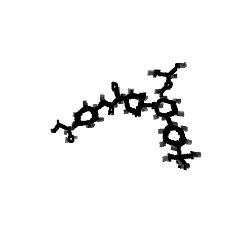 CC[S+]([O-])c1ccc(CNC(=O)c2cnc(N3CC(c4ccc(C(F)(F)F)cc4)CC[C@H]3COC(F)F)nc2)cc1